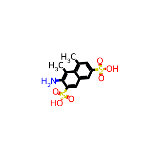 Cc1cc(S(=O)(=O)O)cc2cc(S(=O)(=O)O)c(N)c(C)c12